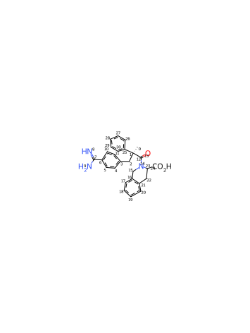 C[C@@](Cc1ccc(C(=N)N)cc1)(C(=O)N1Cc2ccccc2CC1C(=O)O)c1ccccc1